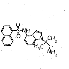 CC(C)(CN)n1ccc2c(NS(=O)(=O)c3cccc4ccccc34)cccc21